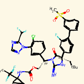 CC(C)(C)C[C@]1(c2ccc(-c3cccc(S(C)(=O)=O)c3)c(F)c2)NC(=N)N([C@H](COC(=O)NC2(C(C)(F)F)CC2)c2ccc(Cl)c(-n3ncnc3C(F)F)c2)C1=O